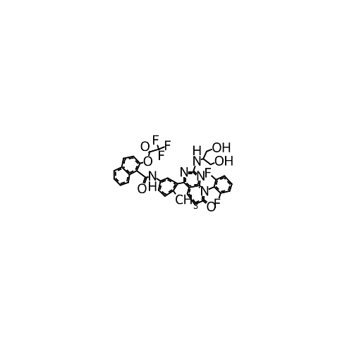 Cc1ccc(NC(=O)c2c(OC(=O)C(F)(F)F)ccc3ccccc23)cc1-c1nc(NC(CO)CO)nc2c1ccc(=O)n2-c1c(F)cccc1F